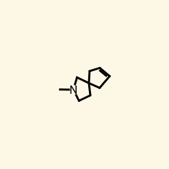 CN1CCC2(CC=CC2)C1